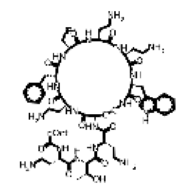 CCCCCCCCC(=O)N[C@@H](CCN)C(=O)N[C@H](C(=O)N[C@@H](CCN)C(=O)N[C@H]1CCNC(=O)[C@H](Cc2c[nH]c3ccccc23)NC(=O)[C@H](CCN)NC(=O)[C@H](CCN)NC(=O)[C@H](CC(C)C)NC(=O)[C@@H](Cc2ccccc2)NC(=O)[C@H](CCN)NC1=O)[C@@H](C)O